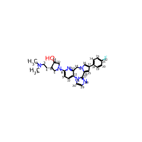 CN(C)CC[C@H]1CN(c2ccc3c(n2)Cn2cc(-c4ccc(F)cc4)cc2-c2nccn2-3)C[C@@H]1O